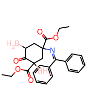 BC1CC(N=C(c2ccccc2)c2ccccc2)(C(=O)OCC)CC(B)(C(=O)OCC)C1=O